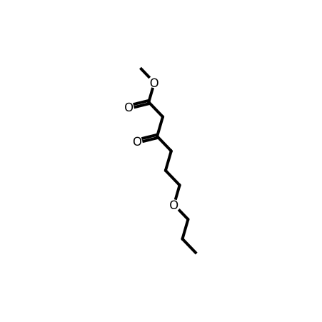 CCCOCCCC(=O)CC(=O)OC